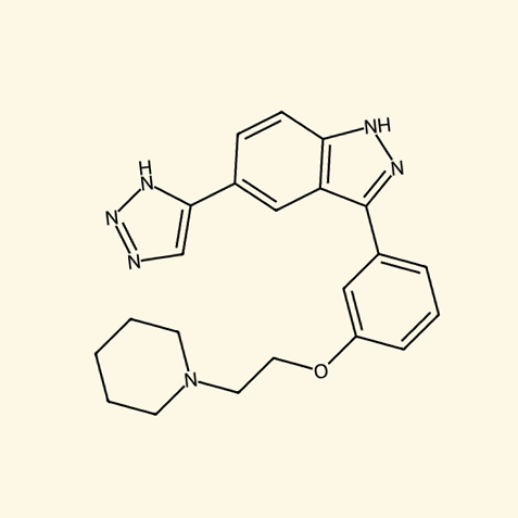 c1cc(OCCN2CCCCC2)cc(-c2n[nH]c3ccc(-c4cnn[nH]4)cc23)c1